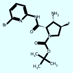 CC(C)(C)OC(=O)N1C[C@H](F)[C@@H](N)[C@H]1C(=O)Nc1cccc(Br)n1